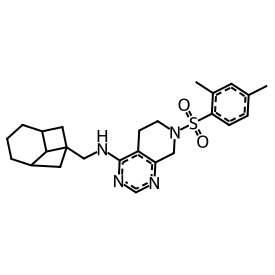 Cc1ccc(S(=O)(=O)N2CCc3c(ncnc3NCC34CC5CCCC(C3)C54)C2)c(C)c1